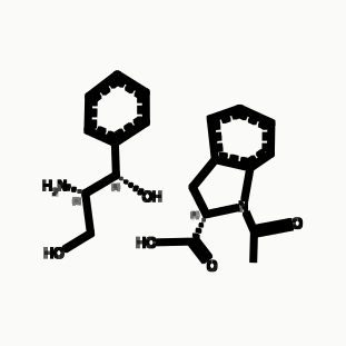 CC(=O)N1c2ccccc2C[C@H]1C(=O)O.N[C@@H](CO)[C@@H](O)c1ccccc1